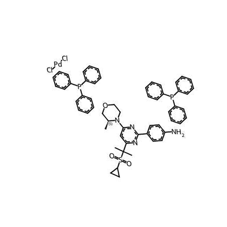 C[C@H]1COCCN1c1cc(C(C)(C)S(=O)(=O)C2CC2)nc(-c2ccc(N)cc2)n1.[Cl][Pd][Cl].c1ccc(P(c2ccccc2)c2ccccc2)cc1.c1ccc(P(c2ccccc2)c2ccccc2)cc1